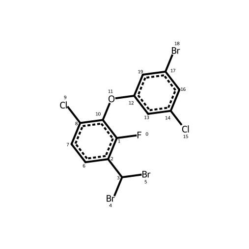 Fc1c(C(Br)Br)ccc(Cl)c1Oc1cc(Cl)cc(Br)c1